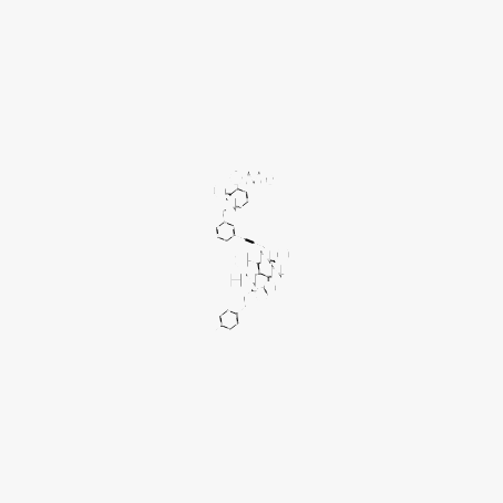 COc1cccn(Cc2cccc(C#CCn3c(Cl)c(NC(=O)CCc4ccc(C)cc4)c(=O)n(C)c3=O)c2)c1=O